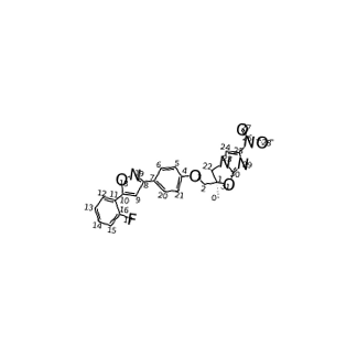 C[C@]1(COc2ccc(-c3cc(-c4ccccc4F)on3)cc2)Cn2cc([N+](=O)[O-])nc2O1